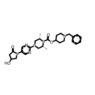 C[C@@H]1CN(c2ncc(N3CC(O)CC3=O)cn2)C[C@H](C)N1C(=O)OC1CCN(Cc2ccccc2)CC1